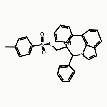 Cc1ccc(S(=O)(=O)OCC(O)C(c2ccccc2)n2ccc3cccc(-c4ccccc4)c32)cc1